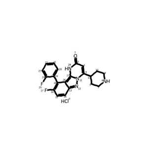 Cl.O=c1cc(C2CCNCC2)n2nc3ccc(F)c(-c4ccccc4F)c3c2[nH]1